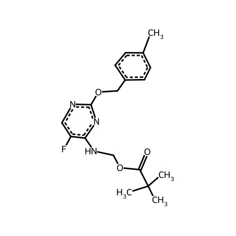 Cc1ccc(COc2ncc(F)c(NCOC(=O)C(C)(C)C)n2)cc1